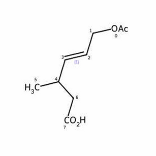 CC(=O)OC/C=C/C(C)CC(=O)O